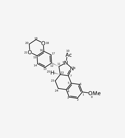 COc1ccc2c(c1)C1=NN(C(C)=O)[C@@H](c3ccc4c(c3)OCCO4)[C@@H]1CC2